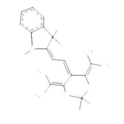 CCCCN1/C(=C/C=C2C(=C(C#N)C#N)OC(C)(C)OC2=C(C#N)C#N)C(C)(C)c2ccccc21